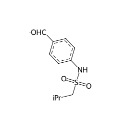 CC(C)CS(=O)(=O)Nc1ccc([C]=O)cc1